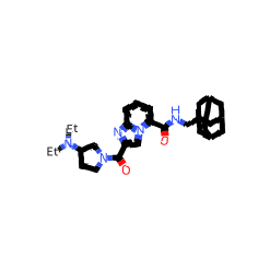 CCN(CC)C1CCN(C(=O)c2cn3c(C(=O)NCC45CC6CC(CC(C6)C4)C5)cccc3n2)C1